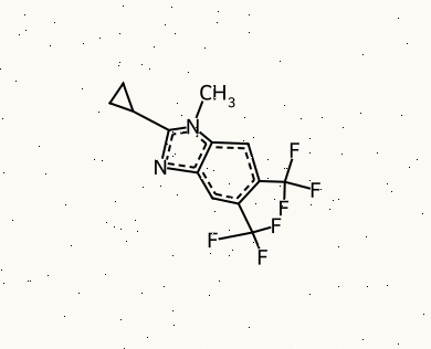 Cn1c(C2CC2)nc2cc(C(F)(F)F)c(C(F)(F)F)cc21